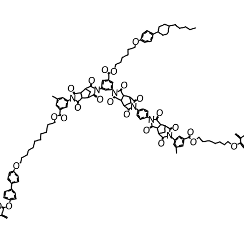 C=C(C)C(=C)OCCCCCCCOC(=O)c1cc(C)cc(N2C(=O)C3CC(C2=O)C2C(=O)N(c4ccc(N5C(=O)C6CC(C5=O)C5C(=O)N(c7cc(C(=O)OCCCCCCOc8ccc(C9CCC(CCCCC)CC9)cc8)cc(N8C(=O)C9CC(C8=O)C8C(=O)N(c%10cc(C)cc(C(=O)OCCCCCCCCCCCOc%11ccc(-c%12ccc(OC(=O)C(=C)C)cc%12)cc%11)c%10)C(=O)C98)c7)C(=O)C65)cc4)C(=O)C32)c1